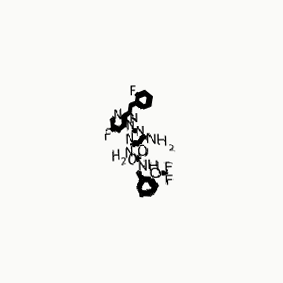 Nc1nc(-n2nc(Cc3ccccc3F)c3ncc(F)cc32)nc(N)c1OC(=O)NCc1ccccc1OC(F)F